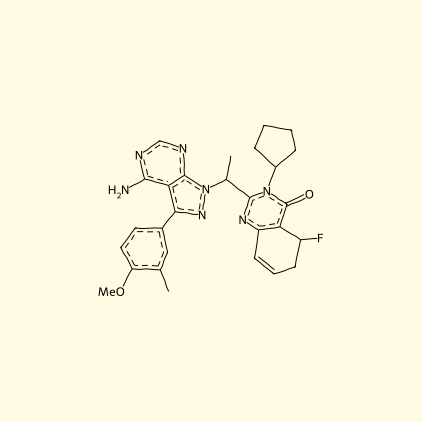 COc1ccc(-c2nn(C(C)c3nc4c(c(=O)n3C3CCCC3)C(F)CC=C4)c3ncnc(N)c23)cc1C